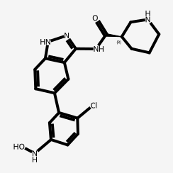 O=C(Nc1n[nH]c2ccc(-c3cc(NO)ccc3Cl)cc12)[C@@H]1CCCNC1